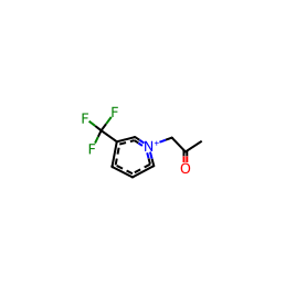 CC(=O)C[n+]1cccc(C(F)(F)F)c1